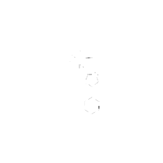 NC1(C(=O)Nc2ncc(-c3ccc(F)cc3)s2)CCCC1